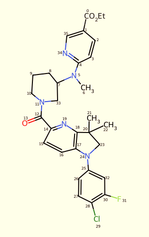 CCOC(=O)c1ccc(N(C)C2CCCN(C(=O)c3ccc4c(n3)C(C)(C)CN4c3ccc(Cl)c(F)c3)C2)nc1